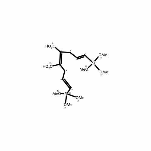 CO[Si](C=CC/C(C(=O)O)=C(\CC=C[Si](OC)(OC)OC)C(=O)O)(OC)OC